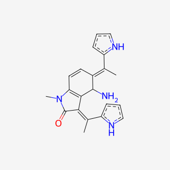 CC(=C1C(=O)N(C)C2=C1C(N)C(=C(C)c1ccc[nH]1)C=C2)c1ccc[nH]1